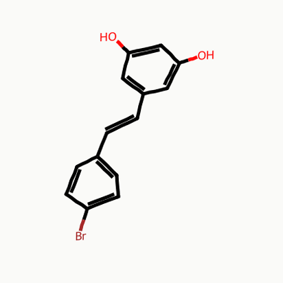 Oc1cc(O)cc(/C=C/c2ccc(Br)cc2)c1